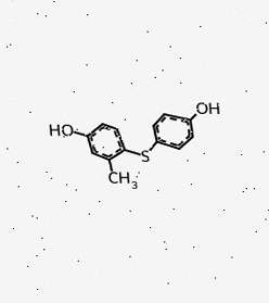 Cc1cc(O)ccc1Sc1ccc(O)cc1